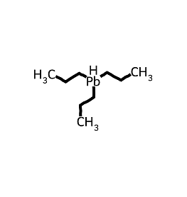 CC[CH2][PbH]([CH2]CC)[CH2]CC